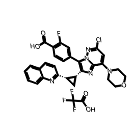 O=C(O)C(F)(F)F.O=C(O)c1ccc(-c2c([C@@H]3C[C@@H]3c3ccc4ccccc4n3)nc3c(N4CCOCC4)cc(Cl)nn23)cc1F